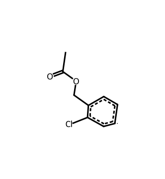 CC(=O)OCc1cc[c]cc1Cl